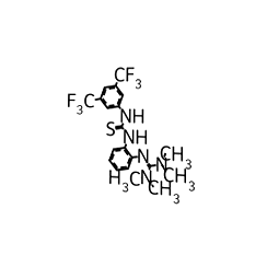 CN(C)C(=Nc1ccccc1NC(=S)Nc1cc(C(F)(F)F)cc(C(F)(F)F)c1)N(C)C